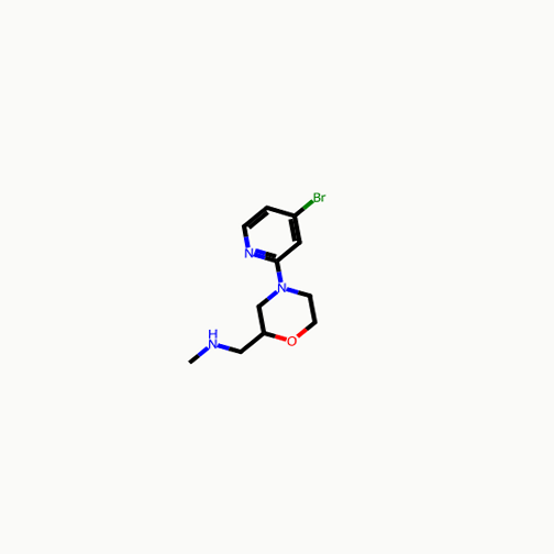 CNCC1CN(c2cc(Br)ccn2)CCO1